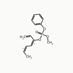 C=C/C(=C\C=C/C)OP(=O)(OC)Oc1ccccc1